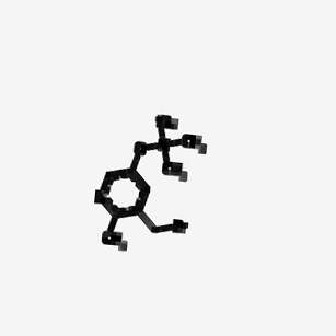 Cc1ncc(O[Si](C)(C)C(C)(C)C)cc1CBr